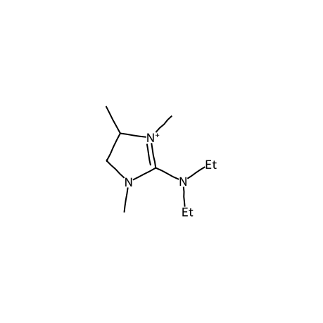 CCN(CC)C1=[N+](C)C(C)CN1C